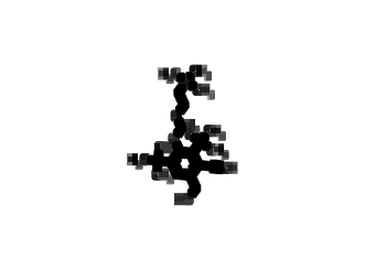 C#Cc1c(CO)cc(C(C)(C)C)c(OCOCC[Si](C)(C)C)c1C(C)(C)C